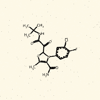 CC1=C(C(N)=O)N(c2ccc(F)c(Cl)c2)C(C(=O)C(=O)NC(C)(C)C)O1